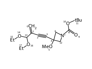 C=C(C#CC1(OC)CN(C(=O)OC(C)(C)C)C1)C(OCC)OCC